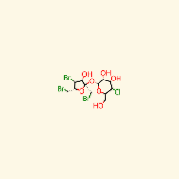 OC[C@H]1O[C@H](O[C@@]2(CBr)O[C@H](CBr)[C@@H](Br)[C@@H]2O)[C@H](O)[C@@H](O)[C@H]1Cl